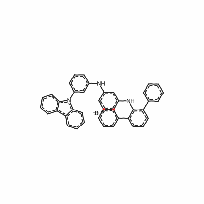 CC(C)(C)c1cc(Nc2cccc(-n3c4ccccc4c4ccccc43)c2)cc(Nc2c(-c3ccccc3)cccc2-c2ccccc2)c1